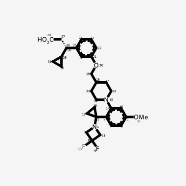 COc1ccc(C2(N3CC(F)(F)C3)CC2)c(N2CCC(COc3cccc([C@@H](CC(=O)O)C4CC4)c3)CC2)c1